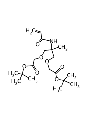 C=CC(=O)NC(C)(COCC(=O)OC(C)(C)C)COCC(=O)OC(C)(C)C